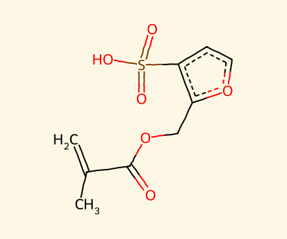 C=C(C)C(=O)OCc1occc1S(=O)(=O)O